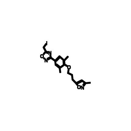 Cc1cc(CCCOc2c(C)cc(-c3noc(CI)n3)cc2C)on1